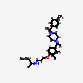 COCC(C)NCCCOc1ccc(C(C)N2CCN(C(=O)c3ccc(C(F)(F)F)cc3)CC2)c(C)c1C